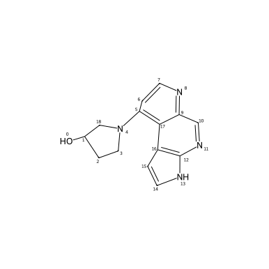 OC1CCN(c2ccnc3cnc4[nH]ccc4c23)C1